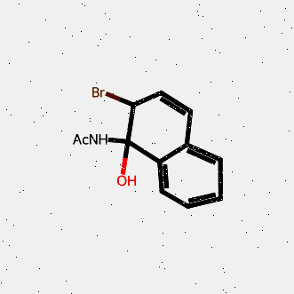 CC(=O)NC1(O)c2ccccc2C=CC1Br